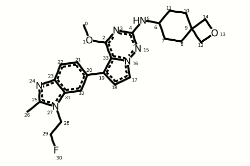 COc1nc(NC2CCC3(CC2)COC3)nn2ccc(-c3ccc4nc(C)n(CCF)c4c3)c12